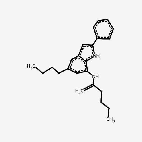 C=C(CCCC)Nc1cc(CCCC)cc2cc(-c3ccccc3)[nH]c12